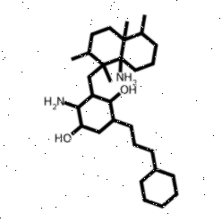 CC1CCCC2(N)C1(C)CCC(C)C2(C)CC1C(N)C(O)CC(CCCC2CCCCC2)C1O